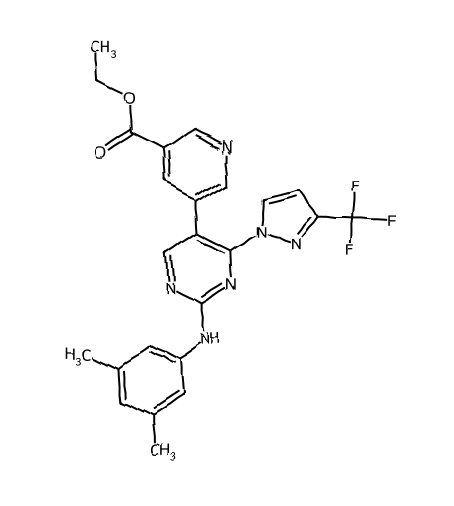 CCOC(=O)c1cncc(-c2cnc(Nc3cc(C)cc(C)c3)nc2-n2ccc(C(F)(F)F)n2)c1